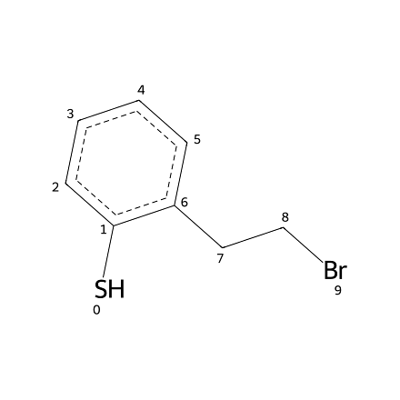 Sc1ccccc1CCBr